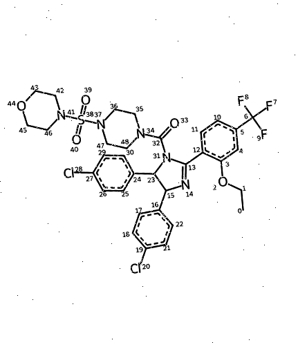 CCOc1cc(C(F)(F)F)ccc1C1=NC(c2ccc(Cl)cc2)C(c2ccc(Cl)cc2)N1C(=O)N1CCN(S(=O)(=O)N2CCOCC2)CC1